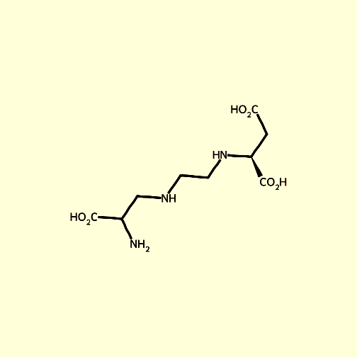 NC(CNCCN[C@@H](CC(=O)O)C(=O)O)C(=O)O